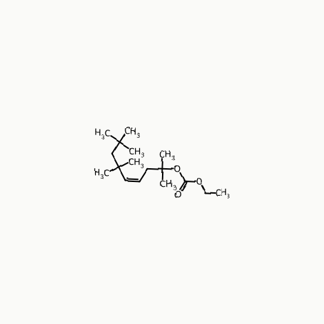 CCOC(=O)OC(C)(C)C/C=C\C(C)(C)CC(C)(C)C